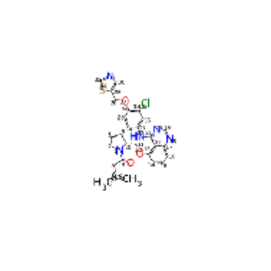 C[As](C)CC(=O)N1CCC[C@@H]1COc1cccc2ncnc(Nc3ccc(OCc4cncs4)c(Cl)c3)c12